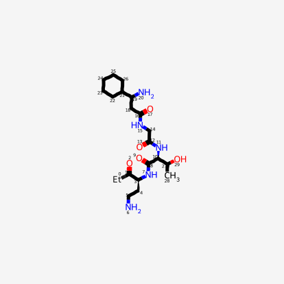 CCC(=O)[C@H](CCN)NC(=O)[C@@H](NC(=O)CNC(=O)CC(N)C1CCCCC1)C(C)O